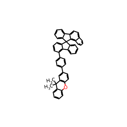 CC1(C)c2ccccc2Oc2ccc(-c3ccc(-c4cccc5c4-c4ccccc4C54c5ccccc5-c5ccc6ccccc6c54)cc3)cc21